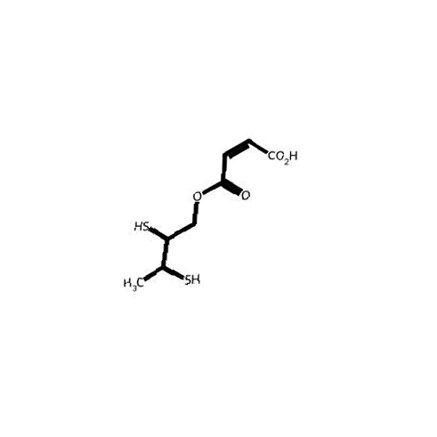 CC(S)C(S)COC(=O)/C=C\C(=O)O